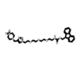 O=C(NCCOCCOCCOCCn1cc(CN2CCS(=O)(=O)CC2)nn1)OCC1c2ccccc2-c2ccccc21